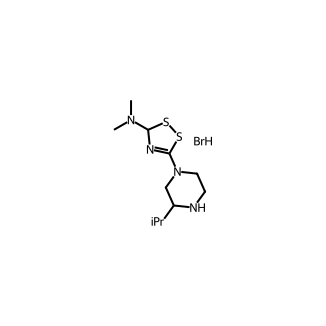 Br.CC(C)C1CN(C2=NC(N(C)C)SS2)CCN1